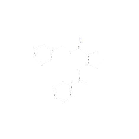 N=C(NCc1ccccc1)c1nonc1NC(=O)c1ccccc1